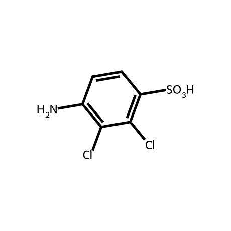 Nc1ccc(S(=O)(=O)O)c(Cl)c1Cl